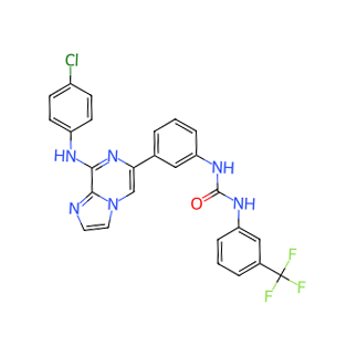 O=C(Nc1cccc(-c2cn3ccnc3c(Nc3ccc(Cl)cc3)n2)c1)Nc1cccc(C(F)(F)F)c1